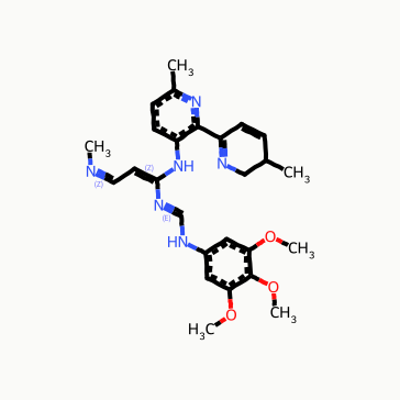 C\N=C/C=C(\N=C\Nc1cc(OC)c(OC)c(OC)c1)Nc1ccc(C)nc1C1=NCC(C)C=C1